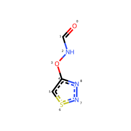 O=CNOc1csnn1